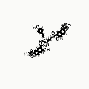 O=C(NCCCC[C@H](NC(=O)c1cc2cc(S(=O)(=O)O)ccc2cc1O)C(=O)NCCc1ccc(O)cc1)c1cc2cc(S(=O)(=O)O)ccc2cc1O